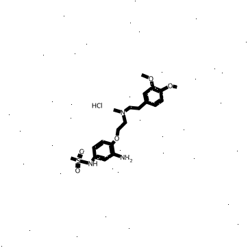 COc1ccc(CCN(C)CCOc2ccc(NS(C)(=O)=O)cc2N)cc1OC.Cl